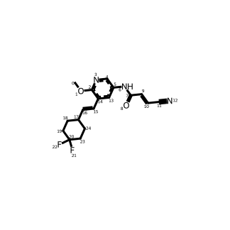 COc1ncc(NC(=O)C=CC#N)cc1C=CC1CCC(F)(F)CC1